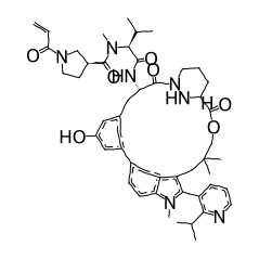 C=CC(=O)N1CC[C@H](C(=O)N(C)[C@H](C(=O)N[C@H]2Cc3cc(O)cc(c3)-c3ccc4c(c3)c(c(-c3cccnc3C(C)C)n4C)CC(C)(C)COC(=O)[C@@H]3CCCN(N3)C2=O)C(C)C)C1